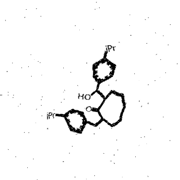 CC(C)c1ccc(CC2CCCCCC(C(O)c3ccc(C(C)C)cc3)C2=O)cc1